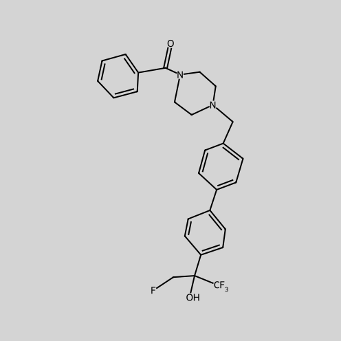 O=C(c1ccccc1)N1CCN(Cc2ccc(-c3ccc(C(O)(CF)C(F)(F)F)cc3)cc2)CC1